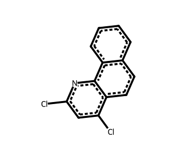 Clc1cc(Cl)c2ccc3ccccc3c2n1